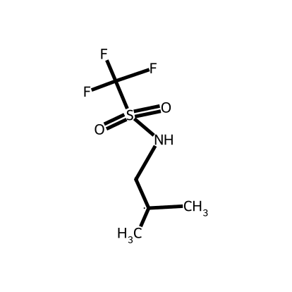 C[C](C)CNS(=O)(=O)C(F)(F)F